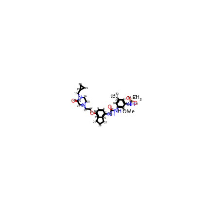 COc1c(NC(=O)Nc2ccc(OCCN3CCN(CC4CC4)C(=O)C3)c3c2CCC3)cc(C(C)(C)C)cc1NS(C)(=O)=O